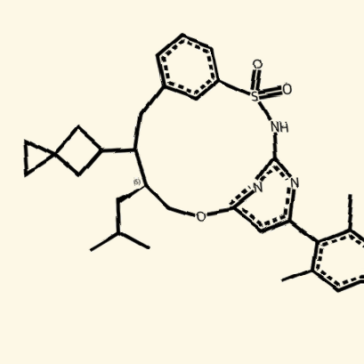 Cc1cccc(C)c1-c1cc2nc(n1)NS(=O)(=O)c1cccc(c1)CC(C1CC3(CC3)C1)[C@H](CC(C)C)CO2